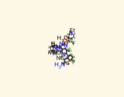 CCN1CC[C@H](C(F)F)[C@](C)(COc2nc(N3C[C@H]4CC[C@@H](C3)N4)c3c(OC)nc(-c4ccc(F)c5sc(N)c(C#N)c45)c(F)c3n2)C1